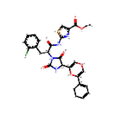 COC(=O)c1csc(NC(=O)[C@H](Cc2ccccc2F)N2C(=O)NC(C3=COC=C(C4=CC=CCC4)O3)C2=O)n1